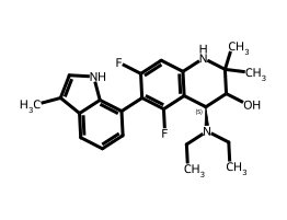 CCN(CC)[C@H]1c2c(cc(F)c(-c3cccc4c(C)c[nH]c34)c2F)NC(C)(C)C1O